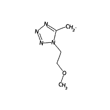 [CH2]c1nnnn1CCOC